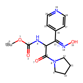 CC(C)(C)OC(=O)NC(C(=O)N1CCCC1)/C(=N/O)c1ccncc1